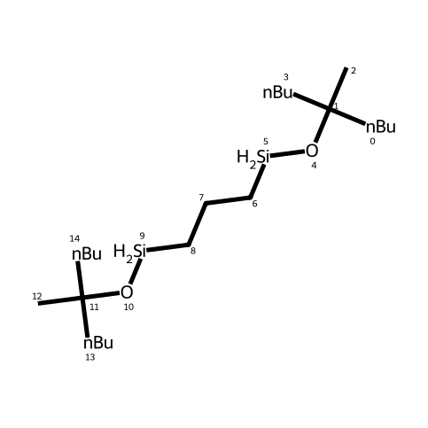 CCCCC(C)(CCCC)O[SiH2]CCC[SiH2]OC(C)(CCCC)CCCC